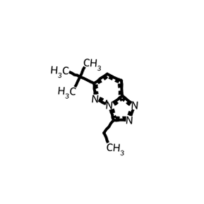 CCc1nnc2ccc(C(C)(C)C)nn12